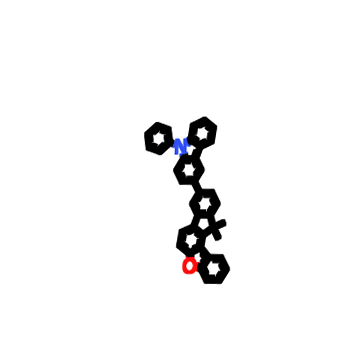 CC1(C)c2ccc(-c3ccc4c(c3)c3ccccc3n4-c3ccccc3)cc2-c2ccc3oc4ccccc4c3c21